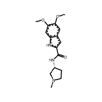 COc1cc2cc(C(=O)N[C@@H]3CCN(C)C3)[nH]c2cc1OC